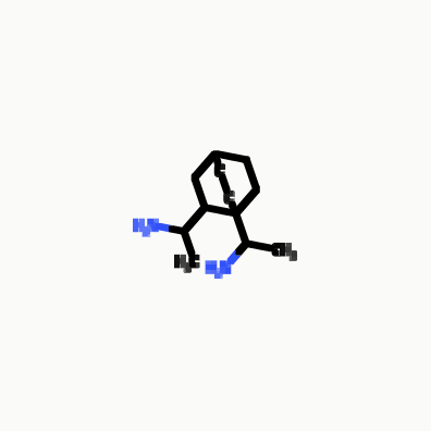 CC(N)C1CC2CCC1(C(C)N)CC2